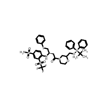 CC(C)(C)[Si](OCC1CN(C(=O)C[C@H](CSc2ccccc2)Nc2ccc(S(N)(=O)=O)cc2S(=O)(=O)C(F)(F)F)CCO1)(c1ccccc1)c1ccccc1